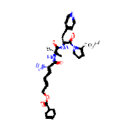 CC[C@](C)(NC(=O)[C@@H](N)CCCCOC(=O)c1ccccc1)C(=O)N[C@@H](Cc1ccncc1)C(=O)N1CCC[C@@H]1C(=O)O